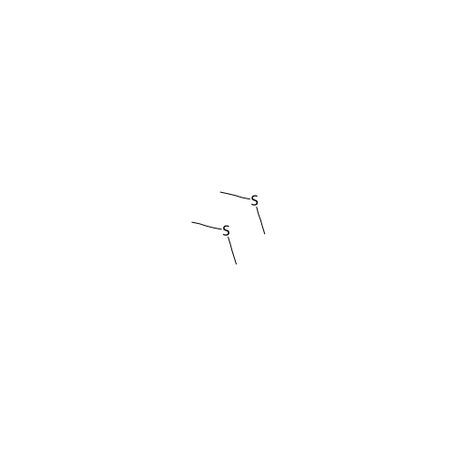 CSC.CSC